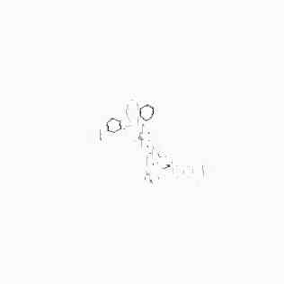 C[C@H]1CN(c2cccc3c2OC(c2ccc(Cl)cc2F)CO3)CCN1CC1=NC2SC(C(=O)O)=CC2N1C[C@@H]1CCO1